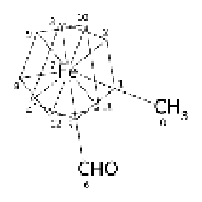 C[C]12[CH]3[CH]4[CH]5[C]1(C=O)[Fe]43521678[CH]2[CH]1[CH]6[CH]7[CH]28